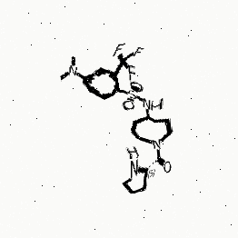 CN(C)c1ccc(S(=O)(=O)NC2CCN(C(=O)[C@@H]3CCCN3)CC2)c(C(F)(F)F)c1